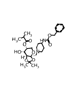 CC(C)C(=O)O[C@@H]1CO[C@@]2(CN3CCC(NC(=O)OCc4ccccc4)CC3)OC(C)(C)O[C@H]2[C@@H]1O